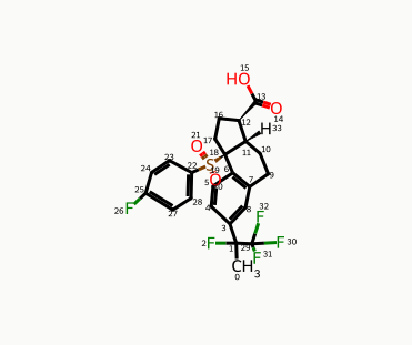 CC(F)(c1ccc2c(c1)CC[C@H]1[C@H](C(=O)O)CC[C@@]21S(=O)(=O)c1ccc(F)cc1)C(F)(F)F